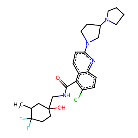 CC1CC(O)(CNC(=O)c2c(Cl)ccc3nc(N4CCC(N5CCCC5)C4)ccc23)CCC1(F)F